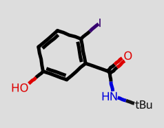 CC(C)(C)NC(=O)c1cc(O)ccc1I